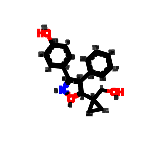 OCC1(c2onc(-c3ccc(O)cc3)c2-c2ccccc2)CC1